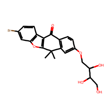 CC1(C)c2cc(OCC(O)C(O)CO)ccc2C(=O)c2c1oc1cc(Br)ccc21